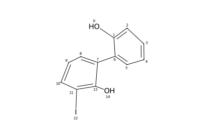 Oc1ccccc1-c1cccc(I)c1O